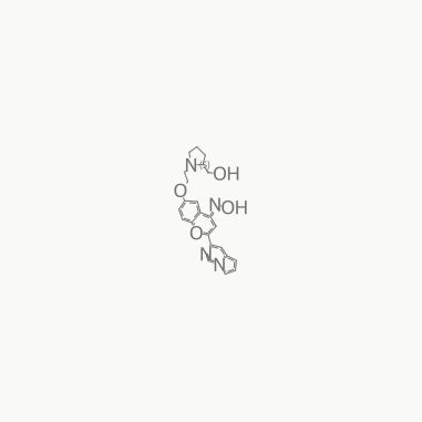 OC[C@@H]1CCCN1CCOc1ccc2oc(-c3cc4cccn4cn3)cc(=NO)c2c1